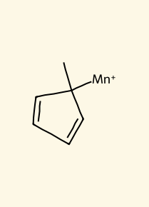 C[C]1([Mn+])C=CC=C1